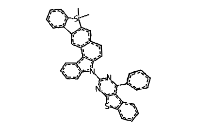 C[Si]1(C)c2ccccc2-c2cc3c(ccc4c3c3ccccc3n4-c3nc(-c4ccccc4)c4c(n3)sc3ccccc34)cc21